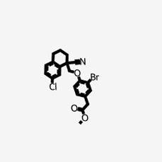 COC(=O)Cc1ccc(OCC2(C#N)CCCc3ccc(Cl)cc32)c(Br)c1